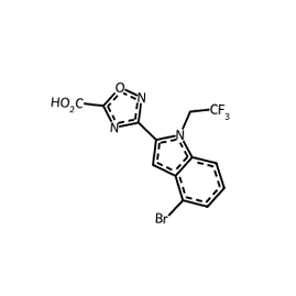 O=C(O)c1nc(-c2cc3c(Br)cccc3n2CC(F)(F)F)no1